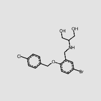 OCC(CO)NCc1cc(Br)ccc1OCc1ccc(Cl)cc1